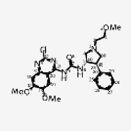 COCCN1C[C@@H](NC(=O)Nc2nc(Cl)nc3cc(OC)c(OC)cc23)[C@H](c2ccccc2)C1